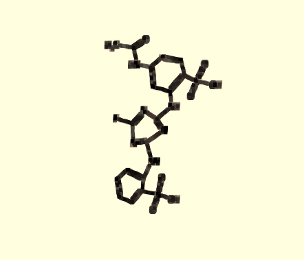 CC(=O)Nc1[c]cc(S(=O)(=O)O)c(Nc2nc(F)nc(Nc3ccccc3S(=O)(=O)O)n2)c1